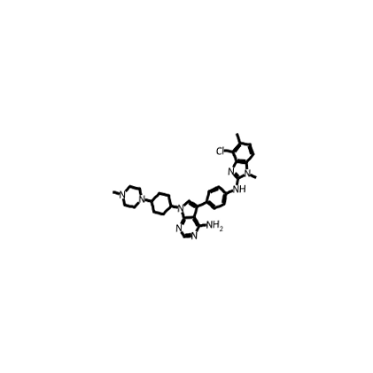 Cc1ccc2c(nc(Nc3ccc(-c4cn(C5CCC(N6CCN(C)CC6)CC5)c5ncnc(N)c45)cc3)n2C)c1Cl